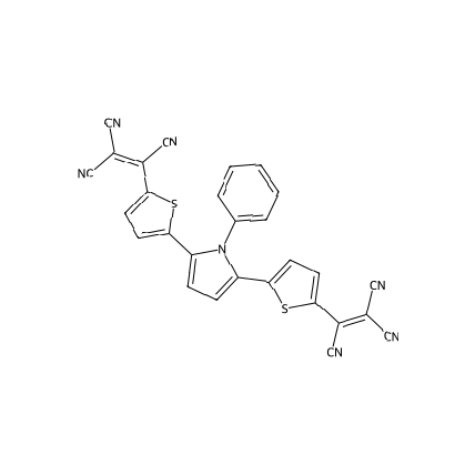 N#CC(C#N)=C(C#N)c1ccc(-c2ccc(-c3ccc(C(C#N)=C(C#N)C#N)s3)n2-c2ccccc2)s1